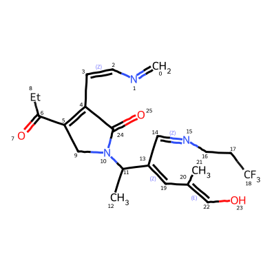 C=N/C=C\C1=C(C(=O)CC)CN(C(C)C(/C=N\CCC(F)(F)F)=C/C(C)=C/O)C1=O